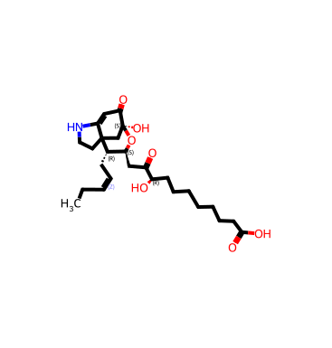 CC/C=C\C[C@H]1[C@H](CC(=O)[C@H](O)CCCCCCCC(=O)O)O[C@@]2(O)CC13CCNC3=CC2=O